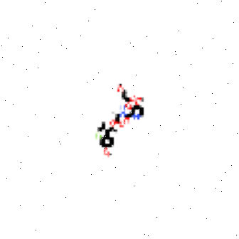 COCCC(=O)Oc1c(OC)ccnc1C(=O)N[C@@H](C)C(=O)O[C@@H](C)[C@H](c1ccc(OC)cc1F)C(C)C